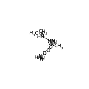 Cc1nnc2c(NCCCCNC(=O)CC(C)C)nc3cc(OCc4ccc(-c5nn[nH]n5)cc4)ccc3n12